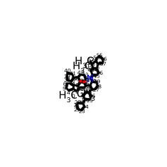 CC1(C)c2ccccc2-c2ccc(-c3c(-c4ccc(-c5ccccc5)cc4)cccc3N(c3ccc(-c4ccccc4)cc3)c3ccc4c(c3)C(C)(C)c3ccccc3-4)cc21